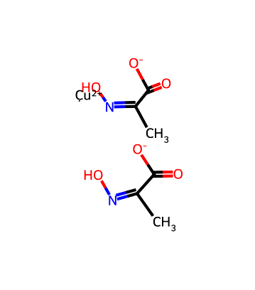 CC(=NO)C(=O)[O-].CC(=NO)C(=O)[O-].[Cu+2]